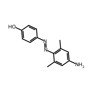 Cc1cc(N)cc(C)c1N=Nc1ccc(O)cc1